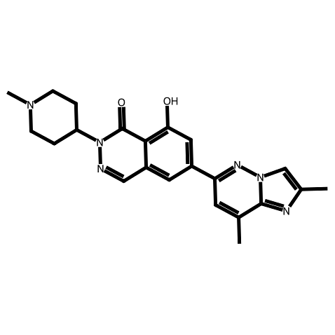 Cc1cn2nc(-c3cc(O)c4c(=O)n(C5CCN(C)CC5)ncc4c3)cc(C)c2n1